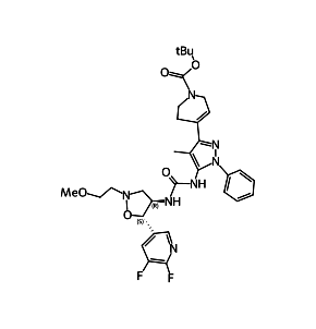 COCCN1C[C@@H](NC(=O)Nc2c(C)c(C3=CCN(C(=O)OC(C)(C)C)CC3)nn2-c2ccccc2)[C@H](c2cnc(F)c(F)c2)O1